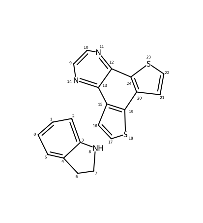 c1ccc2c(c1)CCN2.c1cnc2c(n1)c1ccsc1c1ccsc12